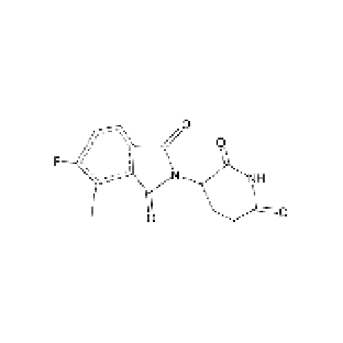 O=C1CCC(N2C(=O)c3ccc(F)c(I)c3C2=O)C(=O)N1